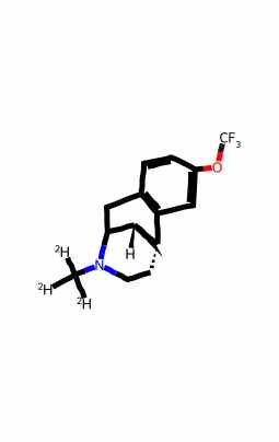 [2H]C([2H])([2H])N1CC[C@@]23CCCC[C@H]2C1Cc1ccc(OC(F)(F)F)cc13